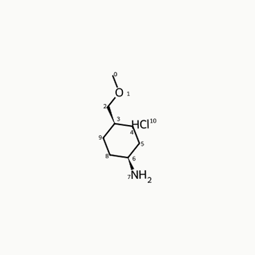 COC[C@H]1CC[C@@H](N)CC1.Cl